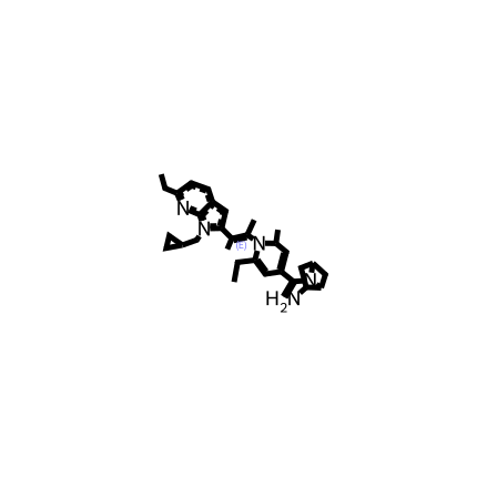 C=C(C1=CC(C)N(/C(C)=C(\C)c2cc3ccc(CC)nc3n2CC2CC2)C(CC)=C1)N1C2CC(N)C1C2